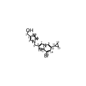 OCc1cn(Cc2cn3cc(C4CC4)cc(Br)c3n2)nn1